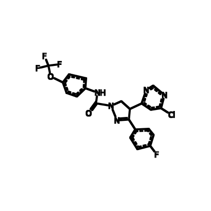 O=C(Nc1ccc(OC(F)(F)F)cc1)N1CC(c2cc(Cl)ncn2)C(c2ccc(F)cc2)=N1